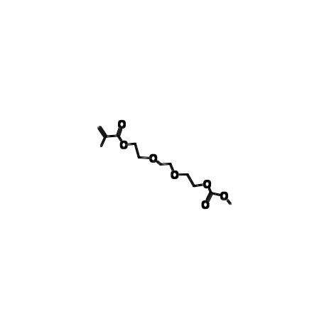 C=C(C)C(=O)OCCOCCOCCOC(=O)OC